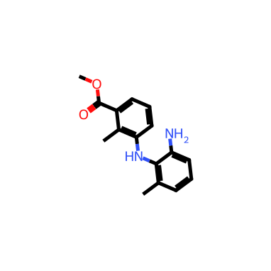 COC(=O)c1cccc(Nc2c(C)cccc2N)c1C